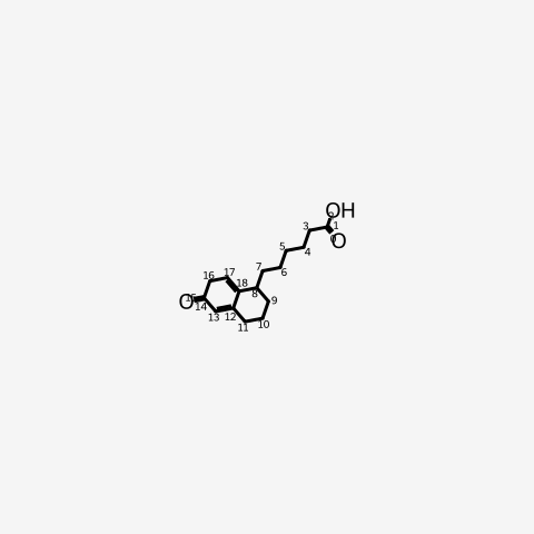 O=C(O)CCCCCC1CCCC2=CC(=O)CC=C21